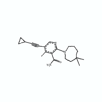 Cc1c(C#CC2CC2)cnc(N2CCCC(C)(C)CC2)c1C(N)=O